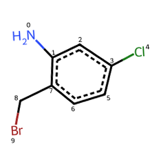 Nc1cc(Cl)ccc1CBr